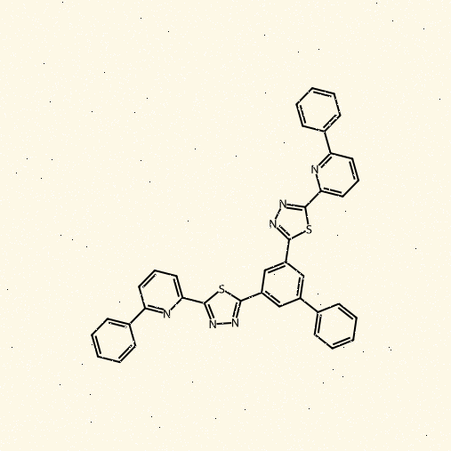 c1ccc(-c2cc(-c3nnc(-c4cccc(-c5ccccc5)n4)s3)cc(-c3nnc(-c4cccc(-c5ccccc5)n4)s3)c2)cc1